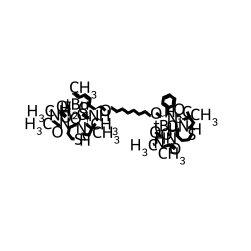 C=C(/C=C\C=C/C)[C@@H](COCCCCCCCCOC[C@@H](NC(=O)[C@H]1N2C(=O)[C@@H](NC(=O)[C@H](C)N(C)C(=O)OC(C)(C)C)CCS[C@H]2CC1(C)C)c1ccccc1)NC(=O)[C@H]1N2C(=O)[C@@H](NC(=O)[C@H](C)N(C)C(=O)OC(C)(C)C)CCS[C@H]2CC1(C)C